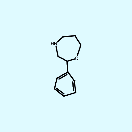 [c]1ccccc1C1CNCCCO1